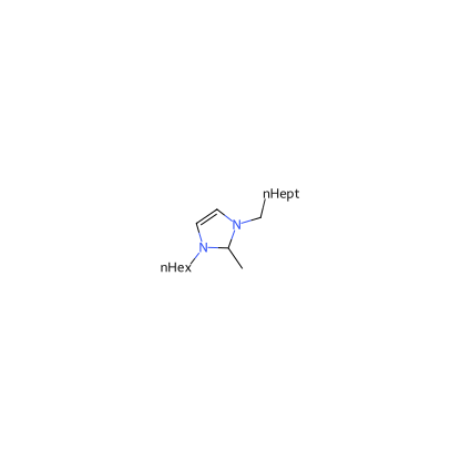 CCCCCCCCN1C=CN(CCCCCC)C1C